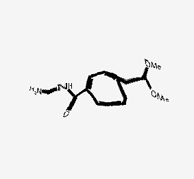 COC(OC)c1ccc(C(=O)NN)cc1